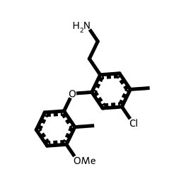 COc1cccc(Oc2cc(Cl)c(C)cc2CCN)c1C